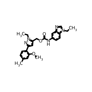 CCn1nc(-c2ccc(C)cc2OC)cc1COC(=O)Nc1ccc2c(c1)ncn2CC